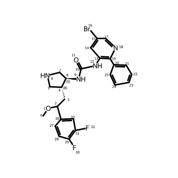 COC(C[C@@H]1CNC[C@H]1NC(=O)Nc1cc(Br)cnc1-c1ccccc1)c1ccc(F)c(F)c1